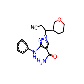 N#CCC(C1CCCOC1)n1cc(C(N)=O)c(Nc2ccccc2)n1